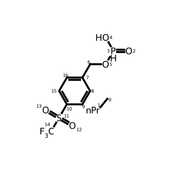 CCCC.O=[PH](O)OCc1ccc(S(=O)(=O)C(F)(F)F)cc1